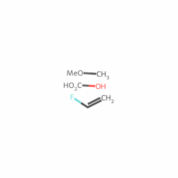 C=CF.COC.O=C(O)O